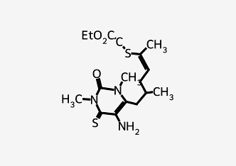 CCOC(=O)CS/C(C)=C\CC(C)Cc1c(N)c(=S)n(C)c(=O)n1C